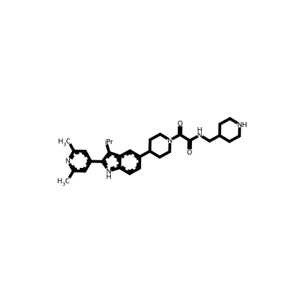 Cc1cc(-c2[nH]c3ccc(C4CCN(C(=O)C(=O)NCC5CCNCC5)CC4)cc3c2C(C)C)cc(C)n1